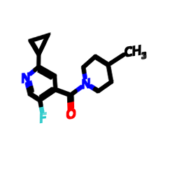 CC1CCN(C(=O)c2cc(C3CC3)ncc2F)CC1